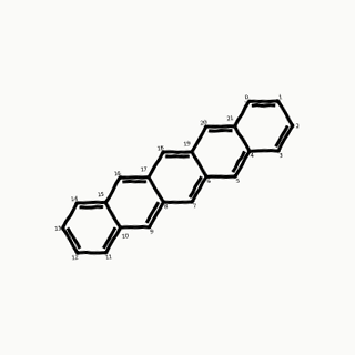 [c]1cccc2cc3cc4cc5ccccc5cc4cc3cc12